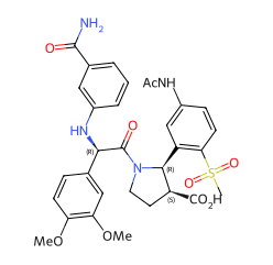 COc1ccc([C@@H](Nc2cccc(C(N)=O)c2)C(=O)N2CC[C@H](C(=O)O)[C@@H]2c2cc(NC(C)=O)ccc2S(C)(=O)=O)cc1OC